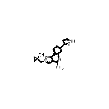 N#CC1(Cn2cc3c(N)nc4cc(-c5cc[nH]n5)ccc4c3n2)CC1